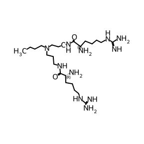 CCCCN(CCCNC(=O)[C@H](N)CCCCNC(=N)N)CCCNC(=O)[C@H](N)CCCCNC(=N)N